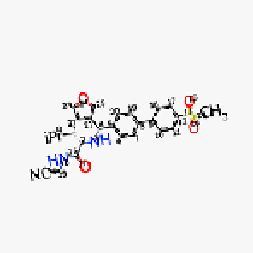 CC(C)C[C@H](N[C@@H](c1ccc(-c2ccc(S(C)(=O)=O)cc2)cc1)c1ccoc1)C(=O)NCC#N